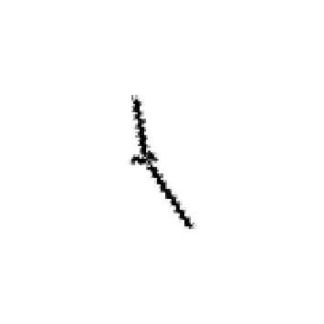 CCCCCCCCCCCCCCCCCC[n+]1ccn(CCCCCCCCCCCCC)c1CCC